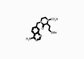 CSCCC1C(=O)N(Cc2ccc3c(N)ncnc3c2)CCN1C(=O)O